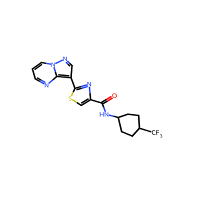 O=C(NC1CCC(C(F)(F)F)CC1)c1csc(-c2cnn3cccnc23)n1